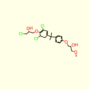 COC[C@@H](O)COc1ccc(C(C)(C)C2=CC(Cl)=C(OC[C@@H](O)CCl)C(Cl)C2)cc1